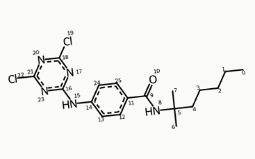 CCCCCC(C)(C)NC(=O)c1ccc(Nc2nc(Cl)nc(Cl)n2)cc1